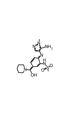 Cn1ncc(N=C2C=CC(=C(O)N3CCCCC3)C=C2NS(C)(=O)=O)c1N